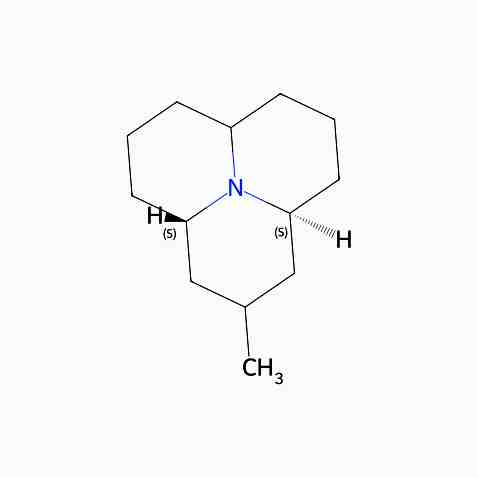 CC1C[C@@H]2CCCC3CCC[C@@H](C1)N32